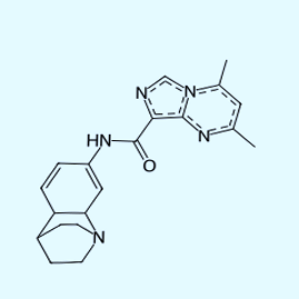 Cc1cc(C)n2cnc(C(=O)NC3=CC4C(C=C3)C3CCN4CC3)c2n1